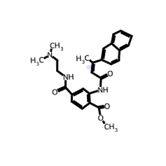 COC(=O)c1ccc(C(=O)NCCN(C)C)cc1NC(=O)/C=C(/C)c1ccc2ccccc2c1